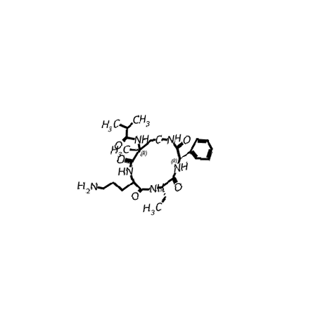 CC[C@@H]1NC(=O)C(CCCN)NC(=O)[C@](C)(NC(=O)C(C)C)CCNC(=O)[C@@H](c2ccccc2)NC1=O